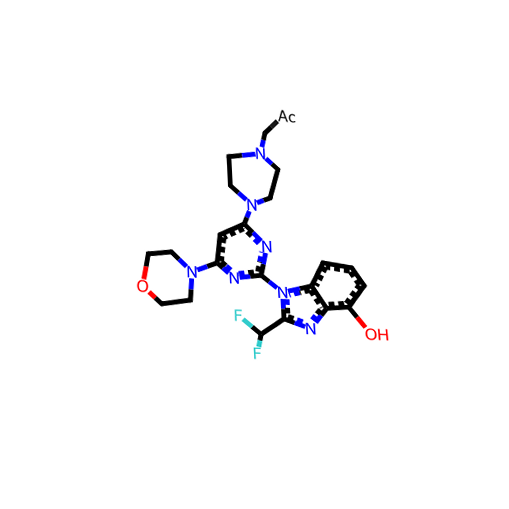 CC(=O)CN1CCN(c2cc(N3CCOCC3)nc(-n3c(C(F)F)nc4c(O)cccc43)n2)CC1